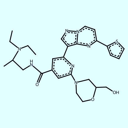 CCN(CC)C(C)CNC(=O)c1cc(-c2cnn3ccc(-c4cccs4)nc23)nc(N2CCOC(CO)C2)c1